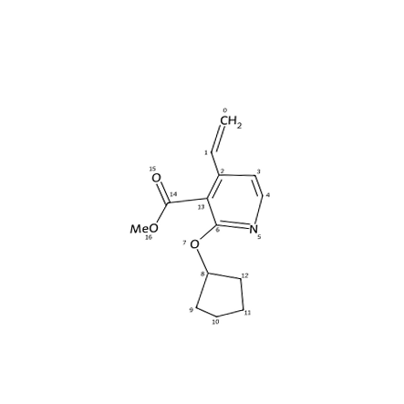 C=Cc1ccnc(OC2CCCC2)c1C(=O)OC